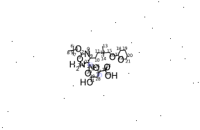 CN(C(=O)OC(C)(C)C)C(CCC(C)(C)COC1CCCCO1)/C(N)=N\O/C(=C\C(=O)O)C(=O)O